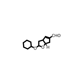 O=CC1=CC2CC(OC3CCCCC3)O[C@H]2C1